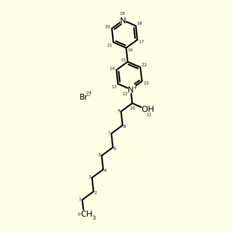 CCCCCCCCCCC(O)[n+]1ccc(-c2ccncc2)cc1.[Br-]